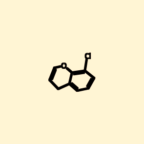 Clc1cccc2c1OC=CC2